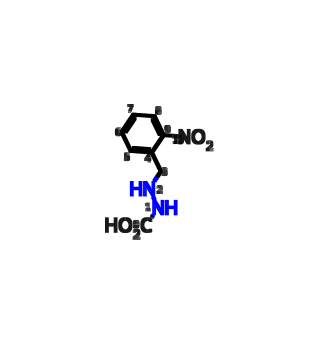 O=C(O)NNCc1ccccc1[N+](=O)[O-]